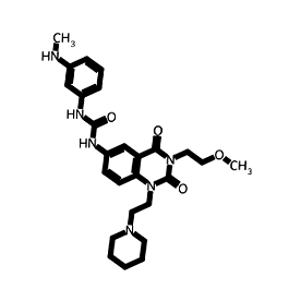 CNc1cccc(NC(=O)Nc2ccc3c(c2)c(=O)n(CCOC)c(=O)n3CCN2CCCCC2)c1